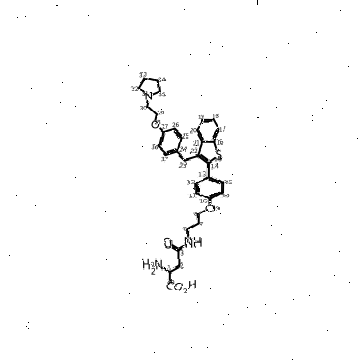 NC(CC(=O)NCCCOc1ccc(-c2sc3ccccc3c2Cc2ccc(OCCN3CCCC3)cc2)cc1)C(=O)O